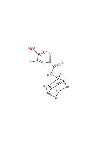 C=C(C=C(C)C(=O)O)C(=O)OC1(C)C2CC3CC(C2)CC1C3